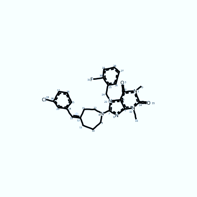 Cn1c(=O)c2c(nc(N3CCC/C(=C/c4cccc(Cl)c4)CC3)n2Cc2ccccc2F)n(C)c1=O